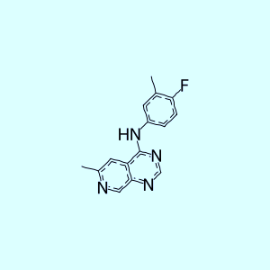 Cc1cc2c(Nc3ccc(F)c(C)c3)ncnc2cn1